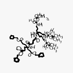 CC(C)(C)OC(=O)NCCCC(CCCNC(=O)OC(C)(C)C)(CCCNC(=O)OC(C)(C)C)NC(=O)CCC(=O)NC(CCC(=O)OCc1ccccc1)(CCC(=O)OCc1ccccc1)CCC(=O)OCc1ccccc1